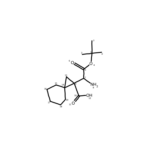 CC(C)(C)OC(=O)C(N)C1(C(=O)O)CC12CCCCC2